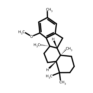 COc1cc(C)cc2c1[C@]1(C)CC[C@H]3C(C)(C)CCC[C@]3(C)[C@H]1C2